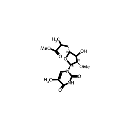 COC(=O)C(C)C[C@H]1O[C@H](n2cc(C)c(=O)[nH]c2=O)[C@@H](OC)C1O